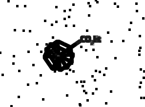 CCOC(=O)[C]12[CH]3[CH]4[CH]5[CH]1[Ru]45321678[CH]2[CH]1[CH]6[CH]7[CH]28